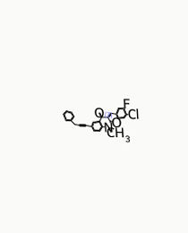 CN1C(=O)/C(=C\c2ccc(Cl)c(F)c2)C(=O)c2cc(C#CCc3ccccc3)ccc21